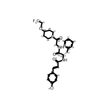 O=C(C=Cc1ccc(Cl)cc1)N[C@@H](Cc1ccccn1)C(=O)NCC(=O)N1CCC(OCC(F)(F)F)CC1